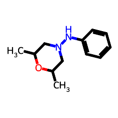 CC1CN(Nc2ccccc2)CC(C)O1